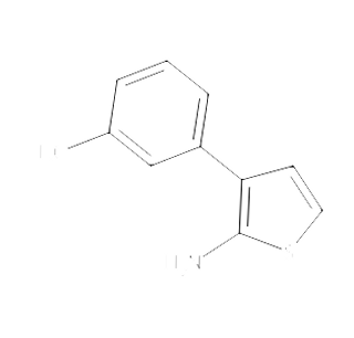 Cc1cccc(-c2ccsc2N)c1